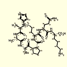 CC[C@H](C)[C@H](NC(=O)[C@H](C)NC(=O)[C@@H](N)Cc1c[nH]cn1)C(=O)N1CCC[C@H]1C(=O)N[C@@H](CCC(=O)O)C(=O)N[C@@H](CCC(N)=O)C(=O)N[C@@H](CCCCN)C(=O)O